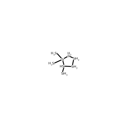 [SiH3][SiH]1[SiH2][SiH2][SiH2][Si]1([SiH3])[SiH3]